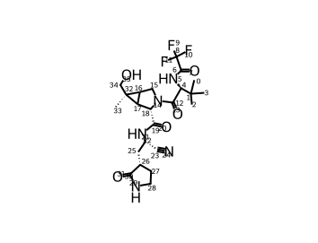 CC(C)(C)[C@H](NC(=O)C(F)(F)F)C(=O)N1CC2C([C@H]1C(=O)N[C@H](C#N)C[C@@H]1CCNC1=O)[C@@]2(C)CO